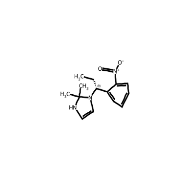 CC[C@H](c1ccccc1[N+](=O)[O-])N1C=CNC1(C)C